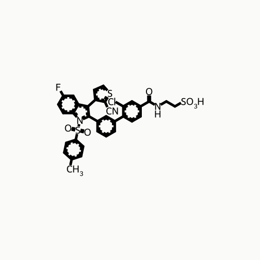 Cc1ccc(S(=O)(=O)n2c(-c3cccc(-c4ccc(C(=O)NCCS(=O)(=O)O)cc4Cl)c3)c(-c3ccsc3C#N)c3cc(F)ccc32)cc1